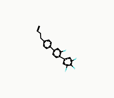 C=CCCc1ccc(-c2ccc(-c3cc(F)c(F)c(F)c3)c(F)c2)cc1